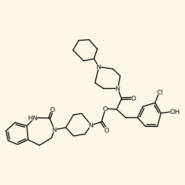 O=C(OC(Cc1ccc(O)c(Cl)c1)C(=O)N1CCN(C2CCCCC2)CC1)N1CCC(N2CCc3ccccc3NC2=O)CC1